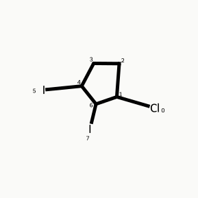 ClC1CCC(I)C1I